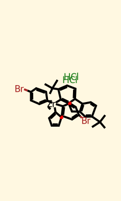 Cl.Cl.[CH2]=[Zr]([C]1=CC=CC1)([c]1ccc(Br)cc1)([c]1ccc(Br)cc1)[c]1c(C(C)(C)C)ccc2c1Cc1cc(C(C)(C)C)ccc1-2